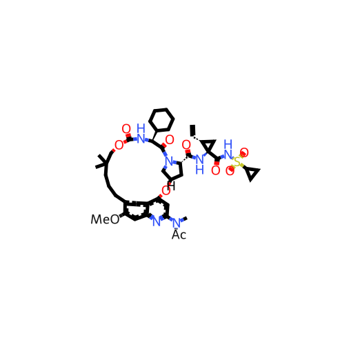 C=C[C@@H]1C[C@]1(NC(=O)[C@@H]1C[C@@H]2CN1C(=O)[C@H](C1CCCCC1)NC(=O)OCC(C)(C)CCCc1cc3c(cc(N(C)C(C)=O)nc3cc1OC)O2)C(=O)NS(=O)(=O)C1CC1